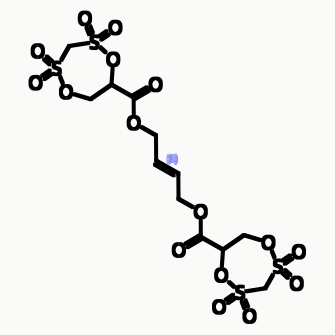 O=C(OC/C=C/COC(=O)C1COS(=O)(=O)CS(=O)(=O)O1)C1COS(=O)(=O)CS(=O)(=O)O1